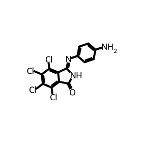 Nc1ccc(N=C2NC(=O)c3c(Cl)c(Cl)c(Cl)c(Cl)c32)cc1